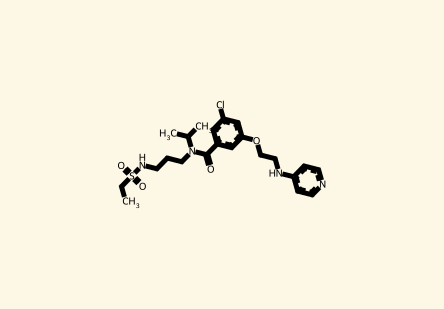 CCS(=O)(=O)NCCCN(C(=O)c1cc(Cl)cc(OCCNc2ccncc2)c1)C(C)C